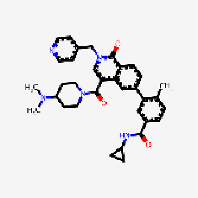 Cc1ccc(C(=O)NC2CC2)cc1-c1ccc2c(=O)n(Cc3ccncc3)cc(C(=O)N3CCC(N(C)C)CC3)c2c1